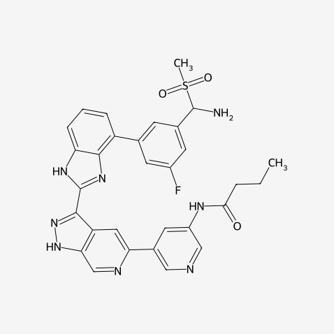 CCCC(=O)Nc1cncc(-c2cc3c(-c4nc5c(-c6cc(F)cc(C(N)S(C)(=O)=O)c6)cccc5[nH]4)n[nH]c3cn2)c1